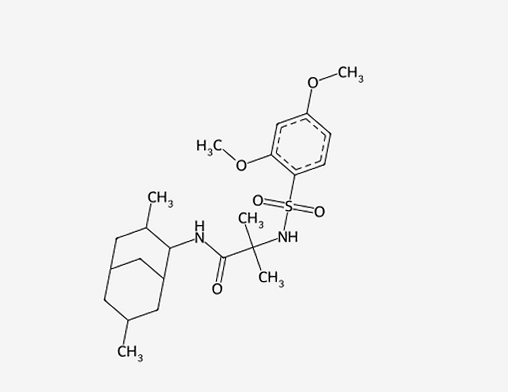 COc1ccc(S(=O)(=O)NC(C)(C)C(=O)NC2C(C)CC3CC(C)CC2C3)c(OC)c1